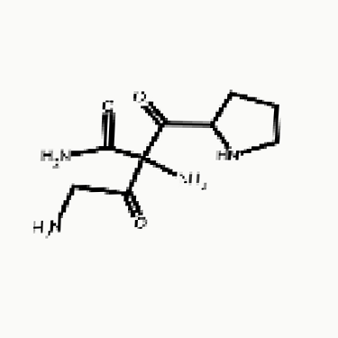 NCC(=O)C(N)(C(N)=O)C(=O)C1CCCN1